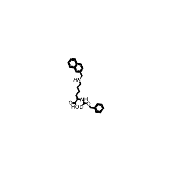 O=C(NC(CCCCNCc1ccc2ccccc2c1)C(=O)O)OCc1ccccc1